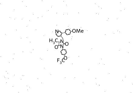 COc1ccc(-c2cnccc2CN2C(=O)N(c3ccc(OC(F)(F)F)cc3)C(=O)C2C)cc1